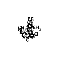 COC(=O)CC1CCN(C(=O)c2ccc(Cl)c(Cn3ccc4cc(OC(F)(F)F)cc(C)c43)c2Cl)CC1